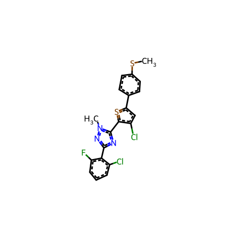 CSc1ccc(-c2cc(Cl)c(-c3nc(-c4c(F)cccc4Cl)nn3C)s2)cc1